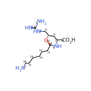 N=C(N)NCCCC(NC(=O)CCCCCCN)C(=O)O